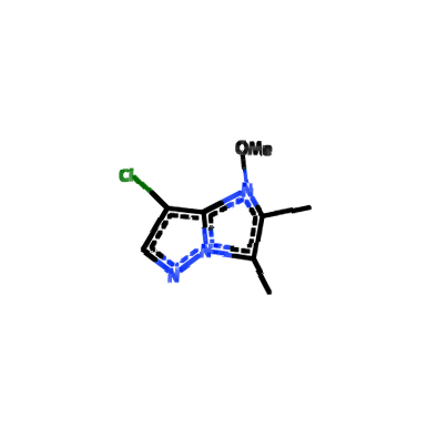 COn1c(C)c(C)n2ncc(Cl)c12